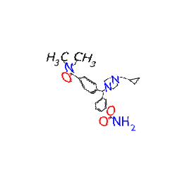 CCN(CC)C(=O)c1ccc(C(c2cccc(OC(N)=O)c2)N2CCN(CC3CC3)CC2)cc1